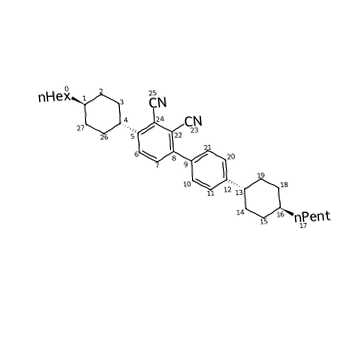 CCCCCC[C@H]1CC[C@H](c2ccc(-c3ccc([C@H]4CC[C@H](CCCCC)CC4)cc3)c(C#N)c2C#N)CC1